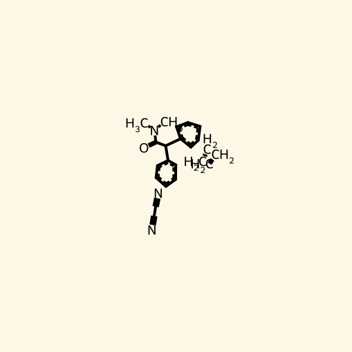 C=C.C=C.CN(C)C(=O)C(c1ccccc1)c1ccccc1.N#CC#N